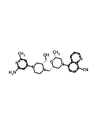 Cc1cc(N2CCN(C[C@H]3CN(c4ccc(C#N)c5ncccc45)C[C@@H](C)O3)[C@@H](CO)C2)cc(N)n1